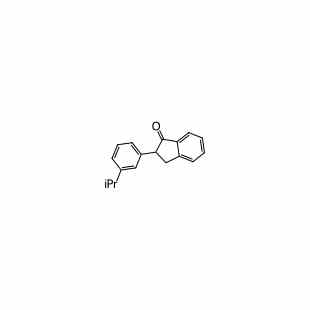 CC(C)c1cccc(C2Cc3ccccc3C2=O)c1